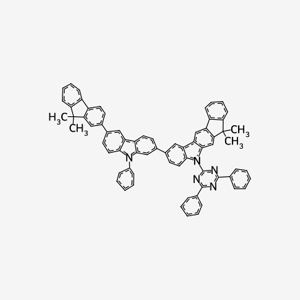 CC1(C)c2ccccc2-c2ccc(-c3ccc4c(c3)c3ccc(-c5ccc6c(c5)c5cc7c(cc5n6-c5nc(-c6ccccc6)nc(-c6ccccc6)n5)C(C)(C)c5ccccc5-7)cc3n4-c3ccccc3)cc21